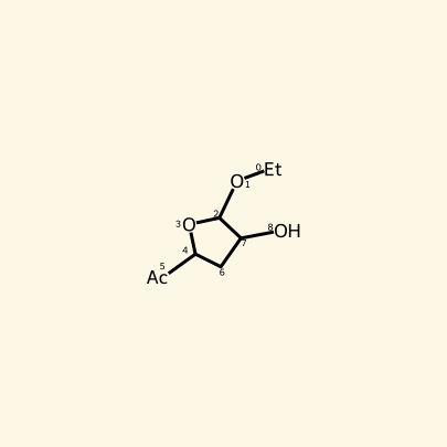 CCOC1OC(C(C)=O)CC1O